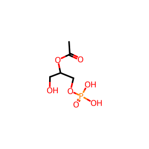 CC(=O)OC(CO)COP(=O)(O)O